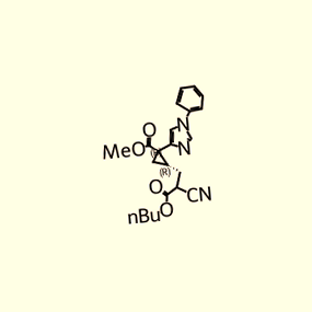 CCCCOC(=O)C(C#N)C[C@@H]1C[C@]1(C(=O)OC)c1cn(-c2ccccc2)cn1